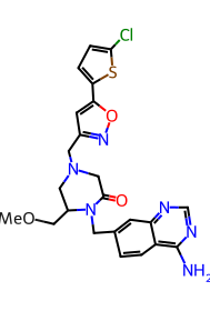 COCC1CN(Cc2cc(-c3ccc(Cl)s3)on2)CC(=O)N1Cc1ccc2c(N)ncnc2c1